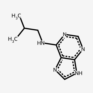 CC(C)CNc1ncnc2[nH]cnc12